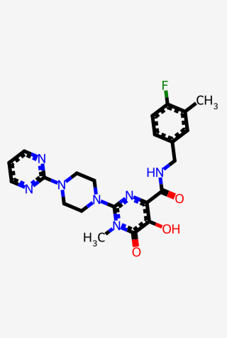 Cc1cc(CNC(=O)c2nc(N3CCN(c4ncccn4)CC3)n(C)c(=O)c2O)ccc1F